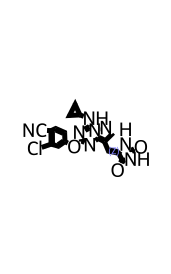 N#Cc1ccc(Oc2nc(NC3CC3)n3ncc(/C=C4\NC(=O)NC4=O)c3n2)cc1Cl